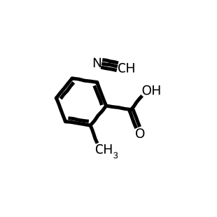 C#N.Cc1ccccc1C(=O)O